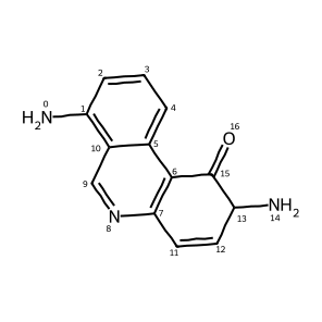 Nc1cccc2c3c(ncc12)C=CC(N)C3=O